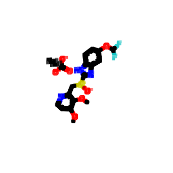 COc1ccnc(C[S+]([O-])c2nc3cc(OC(F)F)ccc3[nH]2)c1OC.O=C([O-])[O-].[Na+].[Na+]